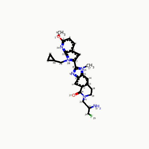 COc1ccc2cc(-c3nc4cc5c(cc4n3C)CCN(CC(N)CF)C5=O)n(CC3CC3)c2n1